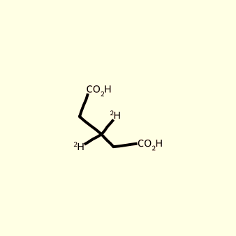 [2H]C([2H])(CC(=O)O)CC(=O)O